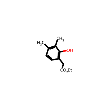 CCOC(=O)Cc1ccc(C)c(C)c1O